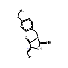 CCCCOc1ccc(CN2C(=N)N/C(=C\C(C)C)C2=O)cc1